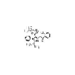 CN(C)c1nc(CC(=O)c2ccccc2Cl)c(C(=O)OC(C)(C)C)n1-c1ccccc1